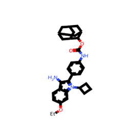 CCOc1ccc2c(N)c(-c3ccc(NC(=O)OC4C5CC6CC(C5)CC4C6)cc3)n(C3CCC3)c2c1